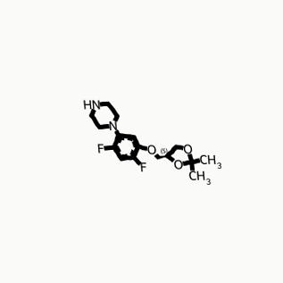 CC1(C)OC[C@H](COc2cc(N3CCNCC3)c(F)cc2F)O1